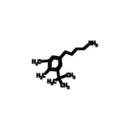 Cc1cc(CCCCN)cc(C(C)(C)C)c1C